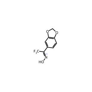 O/N=C(/c1ccc2c(c1)OCO2)C(F)(F)F